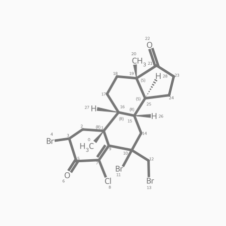 C[C@]12CC(Br)C(=O)C(Cl)=C1C(Br)(CBr)C[C@@H]1[C@H]2CC[C@]2(C)C(=O)CC[C@@H]12